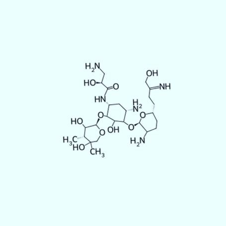 C[C@@H]1C(O)[C@@H](OC2C(O)C(O[C@H]3O[C@H](CCC(=N)CO)CCC3N)[C@@H](N)C[C@H]2NC(=O)[C@@H](O)CN)OCC1(C)O